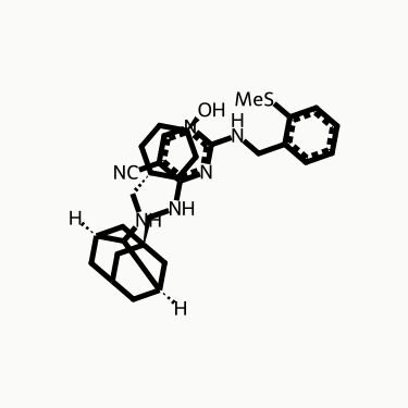 CSc1ccccc1CNc1ncc(C#N)c(NC[C@]23CC4C[C@H](C2)C(NC[C@H]2CC[C@H](O)CC2)[C@@H](C4)C3)n1